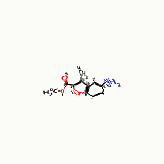 COC(=O)c1oc2ccc(N)cc2c1C